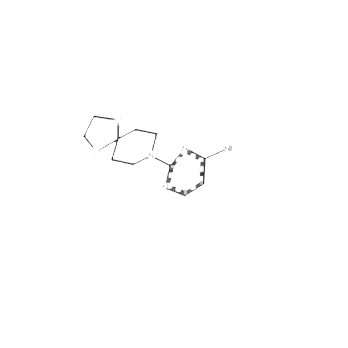 Nc1ccnc(N2CCC3(CC2)OCCO3)n1